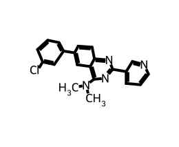 CN(C)c1nc(-c2cccnc2)nc2ccc(-c3cccc(Cl)c3)cc12